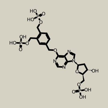 O=P(O)(O)OCc1ccc(COc2ncnc3c2ncn3[C@H]2C[C@H](O)[C@@H](COP(=O)(O)O)O2)cc1COP(=O)(O)O